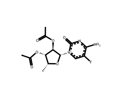 CC(=O)O[C@@H]1[C@@H](OC(C)=O)[C@@H](C)O[C@H]1n1cc(F)c(N)nc1=O